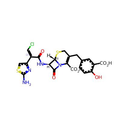 Nc1nc(/C(=C/Cl)C(=O)N[C@@H]2C(=O)N3C(C(=O)O)=C(Cc4ccc(O)c(C(=O)O)c4)CS[C@@H]23)cs1